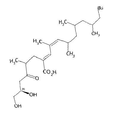 CCC(C)CC(C)CC(C)CC(C)C=C(C)C=C(CC(C)C(=O)C[C@@H](O)CO)C(=O)O